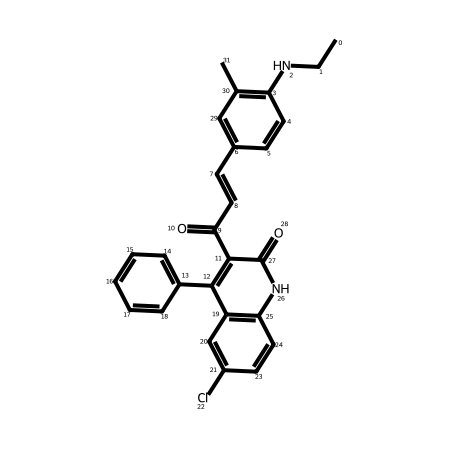 CCNc1ccc(/C=C/C(=O)c2c(-c3ccccc3)c3cc(Cl)ccc3[nH]c2=O)cc1C